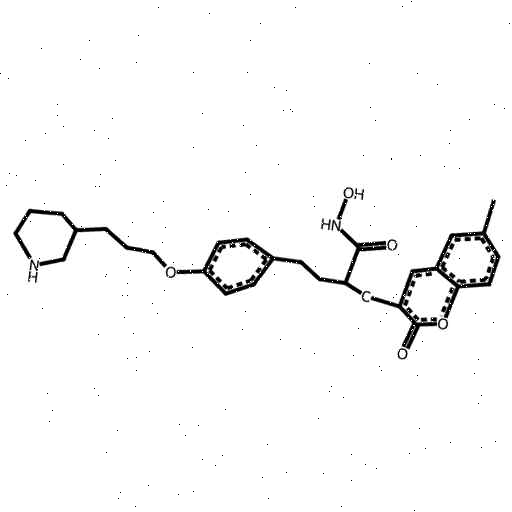 Cc1ccc2oc(=O)c(CC(CCc3ccc(OCCCC4CCCNC4)cc3)C(=O)NO)cc2c1